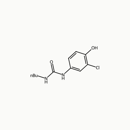 CCCCNC(=O)Nc1ccc(O)c(Cl)c1